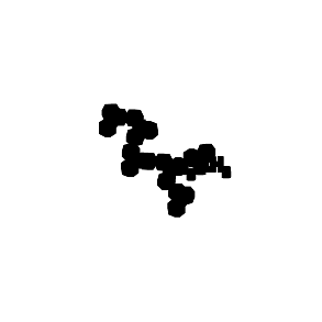 CC1(C)c2ccccc2-c2ccc(-c3ccc4c(c3)c3ccc(-c5ccc(-n6c7ccccc7c7ccc(-c8ccc9c(c8)c8ccccc8n9-c8cccc(-c9cc%10c%11c(cccc%11c9)-c9ccccc9-%10)c8)cc76)cc5)cc3n4-c3cccc(-c4cc5c6c(cccc6c4)-c4ccccc4-5)c3)cc21